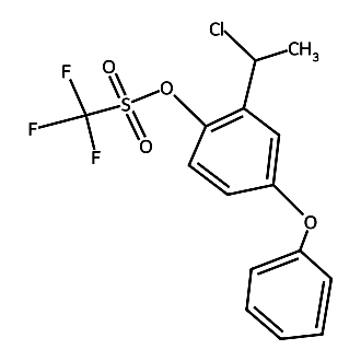 CC(Cl)c1cc(Oc2ccccc2)ccc1OS(=O)(=O)C(F)(F)F